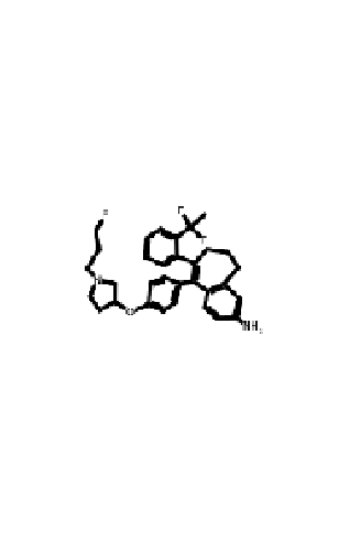 CC(F)(F)c1ccccc1C1=C(c2ccc(OC3CCN(CCCF)C3)cc2)c2ccc(N)cc2CCC1